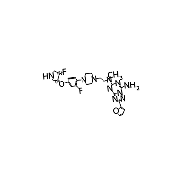 CN(CCN1CCN(c2ccc(O[C@H]3CNC[C@@H]3F)cc2F)CC1)c1nc(N)n2nc(-c3ccco3)nc2n1